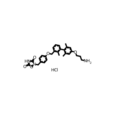 Cc1cc(OCCCN)cc(C)c1-c1cccc(COc2ccc(Cn3oc(=O)[nH]c3=O)cc2)c1C.Cl